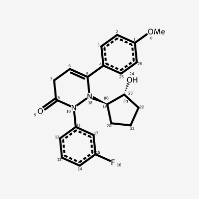 COc1ccc(C2=CCC(=O)N(c3cccc(F)c3)N2[C@@H]2CCC[C@H]2O)cc1